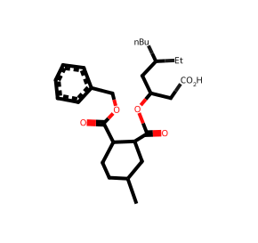 CCCCC(CC)CC(CC(=O)O)OC(=O)C1CC(C)CCC1C(=O)OCc1ccccc1